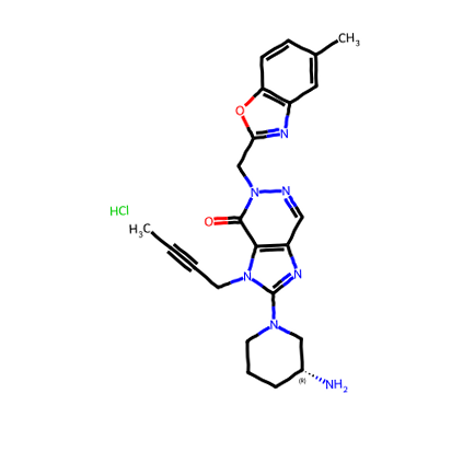 CC#CCn1c(N2CCC[C@@H](N)C2)nc2cnn(Cc3nc4cc(C)ccc4o3)c(=O)c21.Cl